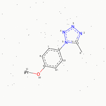 Cc1nnnn1-c1ccc(OC(C)C)cc1